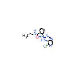 CCCNC(=O)c1ccccc1NC(=NC#N)Nc1cccnc1Cl